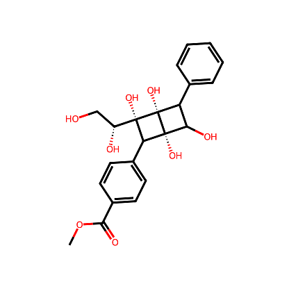 COC(=O)c1ccc(C2[C@]3(O)C(O)C(c4ccccc4)[C@]3(O)[C@]2(O)[C@H](O)CO)cc1